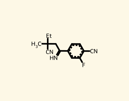 CCC(C)(C#N)CC(=N)c1ccc(C#N)c(F)c1